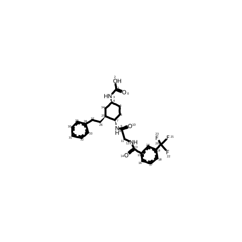 O=C(O)N[C@@H]1CC[C@H](NC(=O)CNC(=O)c2cccc(C(F)(F)F)c2)[C@@H](CCc2ccccc2)C1